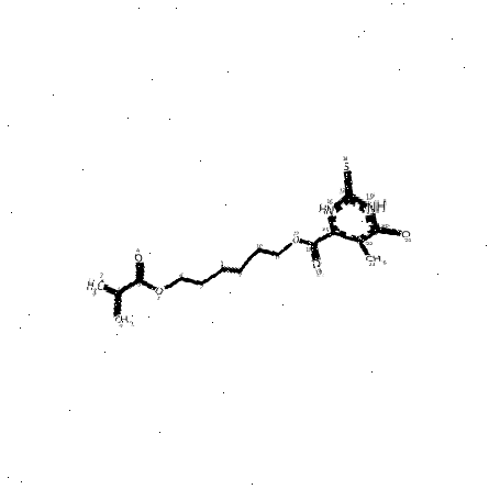 C=C(C)C(=O)OCCCCCCOC(=O)c1[nH]c(=S)[nH]c(=O)c1C